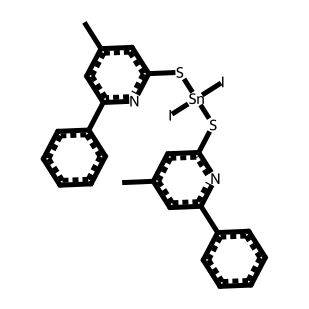 Cc1cc([S][Sn]([I])([I])[S]c2cc(C)cc(-c3ccccc3)n2)nc(-c2ccccc2)c1